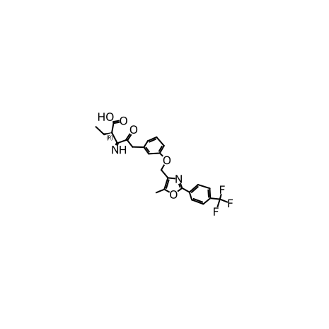 CC[C@H](C(=N)C(=O)Cc1cccc(OCc2nc(-c3ccc(C(F)(F)F)cc3)oc2C)c1)C(=O)O